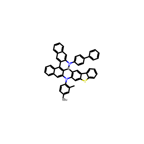 Cc1cc(C(C)(C)C)ccc1N1c2cc3sc4ccccc4c3cc2B2c3c1cc1ccccc1c3-c1cc3ccccc3cc1N2c1ccc(-c2ccccc2)cc1